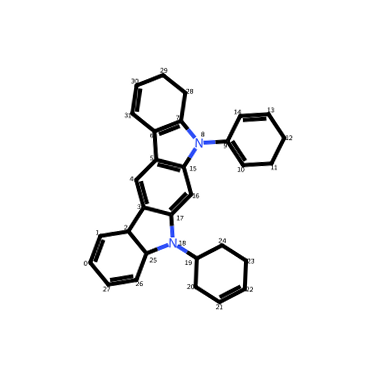 C1=CC2c3cc4c5c(n(C6=CCCC=C6)c4cc3N(C3CC=CCC3)C2C=C1)CCC=C5